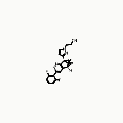 CC1(C)[C@H]2CC[C@]1(c1ccn(CCC#N)n1)c1nnc(-c3c(F)cccc3F)cc12